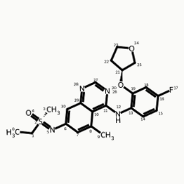 CC[S@@](C)(=O)=Nc1cc(C)c2c(Nc3ccc(F)cc3O[C@H]3CCOC3)ncnc2c1